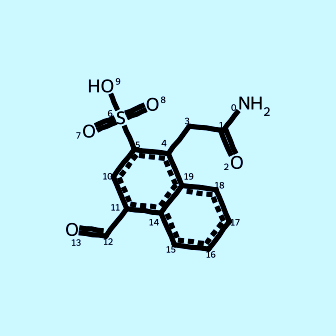 NC(=O)Cc1c(S(=O)(=O)O)cc(C=O)c2ccccc12